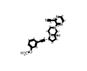 COc1cccc(C#C[C@H]2CC[C@H]3CN(c4nccnc4C#N)CCN32)c1